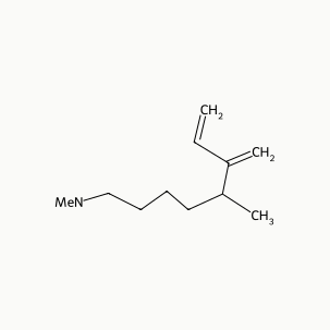 C=CC(=C)C(C)CCCCNC